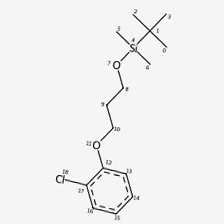 CC(C)(C)[Si](C)(C)OCCCOc1ccccc1Cl